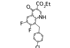 CCOC(=O)c1c[nH]c2c(Cc3ccc(Cl)cc3)c(F)c(F)cc2c1=O